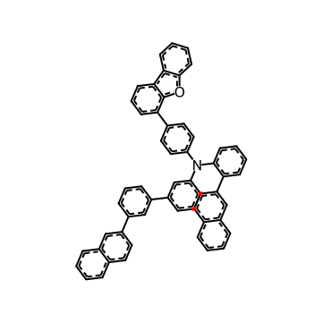 c1cc(-c2cccc(N(c3ccc(-c4cccc5c4oc4ccccc45)cc3)c3ccccc3-c3ccc4ccccc4c3)c2)cc(-c2ccc3ccccc3c2)c1